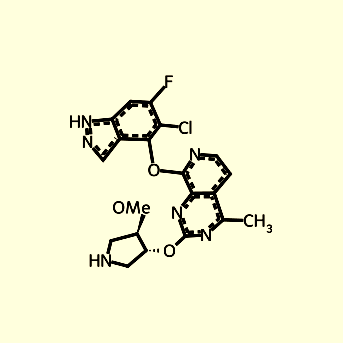 CO[C@@H]1CNC[C@H]1Oc1nc(C)c2ccnc(Oc3c(Cl)c(F)cc4[nH]ncc34)c2n1